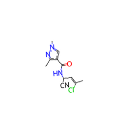 CC(Cl)=CC(C#N)NC(=O)c1cn(C)nc1C